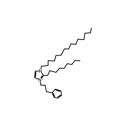 CCCCCCCCCCCCCCCn1cc[n+](CCCc2ccccc2)c1CCCCCCCCC